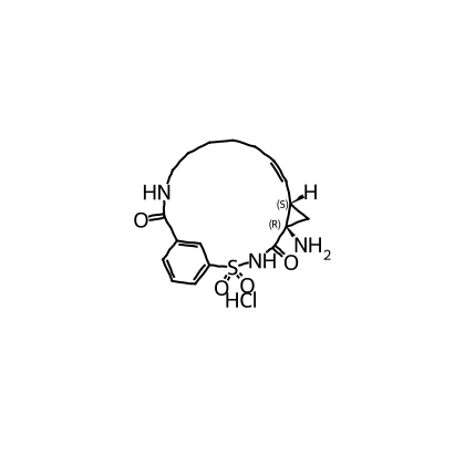 Cl.N[C@]12C[C@H]1C=CCCCCCNC(=O)c1cccc(c1)S(=O)(=O)NC2=O